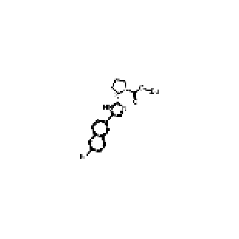 CC(C)(C)OC(=O)N1CCC[C@H]1c1ncc(-c2ccc3cc(Br)ccc3c2)[nH]1